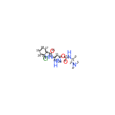 CC(CN(C)C)NC(=O)Oc1cc(NC(=O)c2ccccc2Cl)[nH]n1